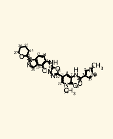 Cn1cc(C(=O)Nc2cc(-c3nnc(Nc4ccc5c(cnn5C5CCCCO5)c4Cl)o3)cn(C)c2=O)cn1